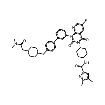 Cc1cc(C(=O)N[C@H]2CC[C@@H](n3c(=O)c4cc(F)cnc4n(-c4cccc(-c5ccc(CN6CCN(CC(=O)N(C)C)CC6)cc5)c4)c3=O)CC2)nn1C